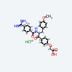 COc1ccc(CC(NC(=O)c2ccc(C(=N)N)cc2)C(=O)c2ccc(OCC(=O)O)cc2)cc1.Cl